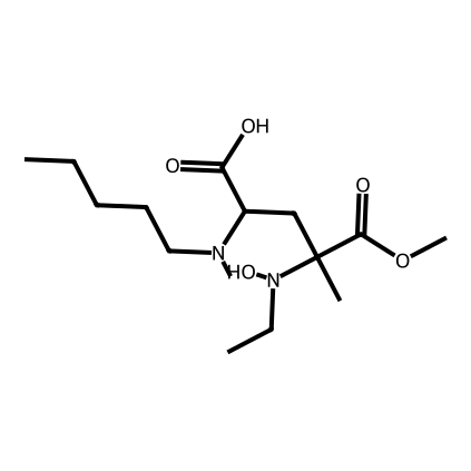 CCCCCN(C)C(CC(C)(C(=O)OC)N(O)CC)C(=O)O